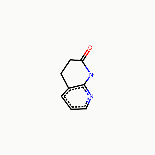 O=C1CCc2cccnc2[N]1